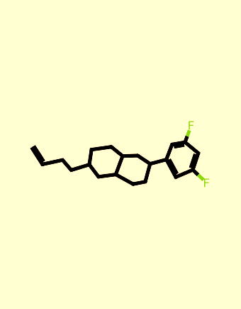 C=CCCC1CCC2CC(c3cc(F)cc(F)c3)CCC2C1